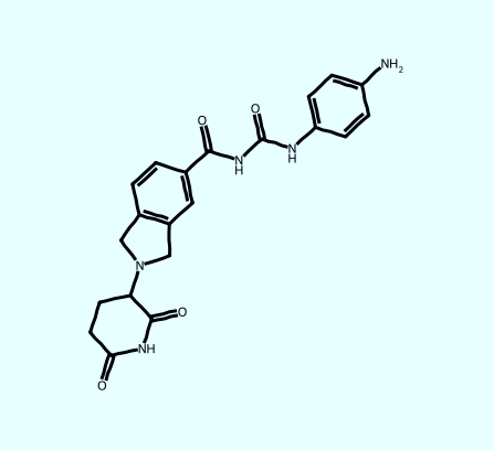 Nc1ccc(NC(=O)NC(=O)c2ccc3c(c2)CN(C2CCC(=O)NC2=O)C3)cc1